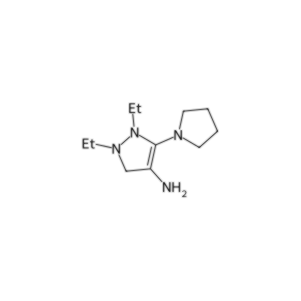 CCN1CC(N)=C(N2CCCC2)N1CC